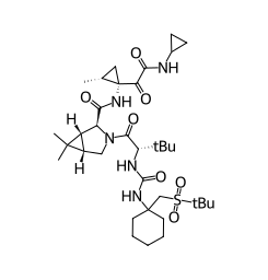 C[C@@H]1C[C@@]1(NC(=O)[C@@H]1[C@@H]2[C@H](CN1C(=O)[C@@H](NC(=O)NC1(CS(=O)(=O)C(C)(C)C)CCCCC1)C(C)(C)C)C2(C)C)C(=O)C(=O)NC1CC1